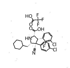 N#C[C@]1(c2ccc(Cl)cc2)[C@H](CC2CCCCC2)N[C@H](C(=O)O)[C@@H]1c1cccc(Cl)c1F.O=C(O)C(F)(F)F